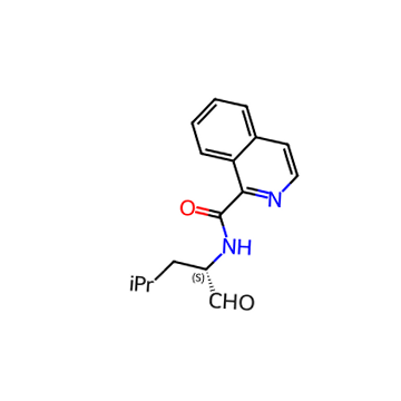 CC(C)C[C@@H](C=O)NC(=O)c1nccc2ccccc12